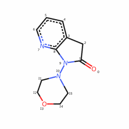 O=C1Cc2cccnc2N1N1CCOCC1